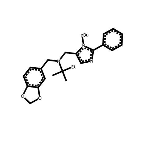 CCCCn1c(CN(Cc2ccc3c(c2)OCO3)C(C)(C)CC)cnc1-c1ccccc1